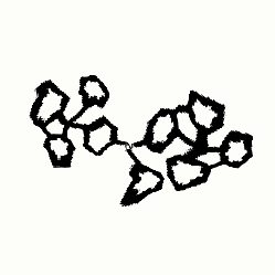 C1=C(N(c2ccccc2)c2ccc3c(c2)C2(c4ccccc4-c4ccccc42)c2ccccc2-3)CCC(C2(c3ccccc3)c3ccccc3-c3ccccc32)=C1